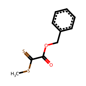 CSC(=S)C(=O)OCc1ccccc1